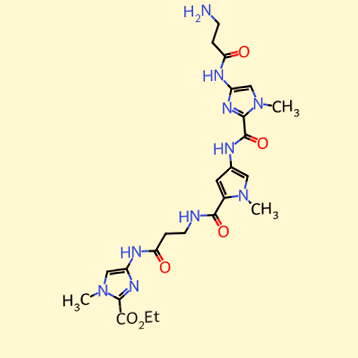 CCOC(=O)c1nc(NC(=O)CCNC(=O)c2cc(NC(=O)c3nc(NC(=O)CCN)cn3C)cn2C)cn1C